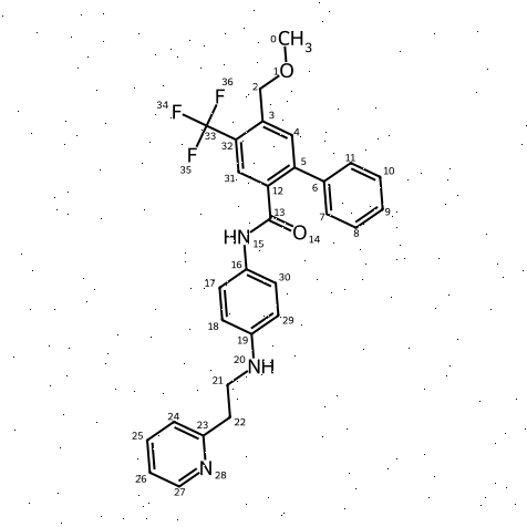 COCc1cc(-c2ccccc2)c(C(=O)Nc2ccc(NCCc3ccccn3)cc2)cc1C(F)(F)F